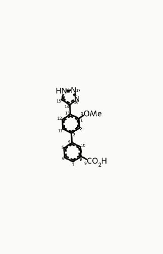 COc1cc(-c2cccc(C(=O)O)c2)ccc1-c1c[nH]nn1